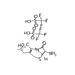 C[S+](C)CC1=C(C(=O)O)N2C(=O)C(N)[C@H]2SC1.O=S(=O)(O)C(F)(F)F.O=S(=O)(O)C(F)(F)F